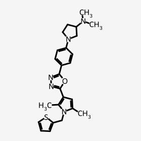 Cc1cc(-c2nnc(-c3ccc(N4CCC(N(C)C)C4)cc3)o2)c(C)n1Cc1cccs1